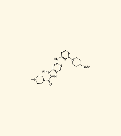 COC1CCN(c2nccc(Nc3cc4c(cn3)nc(C(=O)N3CCN(C)CC3)n4C(C)C)n2)CC1